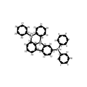 c1ccc(N(c2ccccc2)c2ccc3c(c2)B2c4ccccc4N(c4ccccc4)c4cccc-3c42)cc1